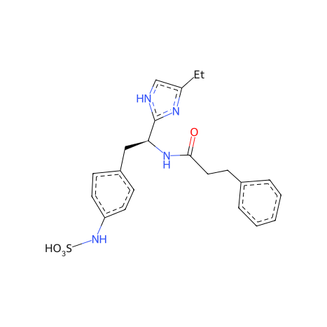 CCc1c[nH]c([C@H](Cc2ccc(NS(=O)(=O)O)cc2)NC(=O)CCc2ccccc2)n1